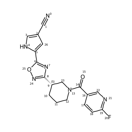 N#Cc1c[nH]c(-c2nc([C@H]3CCCN(C(=O)c4ccc(F)nc4)C3)no2)c1